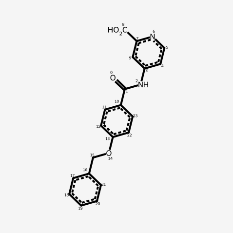 O=C(Nc1ccnc(C(=O)O)c1)c1ccc(OCc2ccccc2)cc1